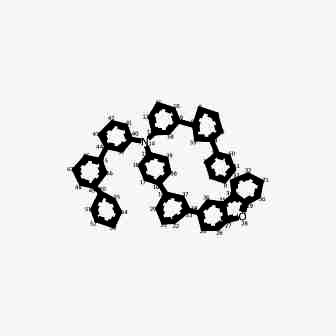 c1ccc(-c2cccc(-c3cccc(N(c4ccc(-c5cccc(-c6ccc7oc8ccccc8c7c6)c5)cc4)c4cccc(-c5cccc(-c6ccccc6)c5)c4)c3)c2)cc1